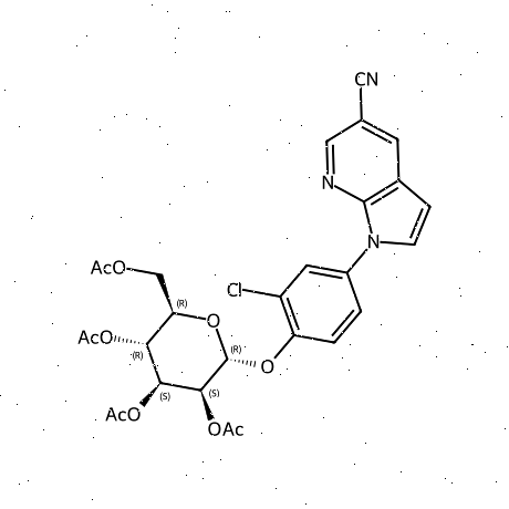 CC(=O)OC[C@H]1O[C@H](Oc2ccc(-n3ccc4cc(C#N)cnc43)cc2Cl)[C@@H](OC(C)=O)[C@@H](OC(C)=O)[C@@H]1OC(C)=O